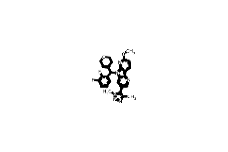 COc1ccc2c3ncc(-c4c(C)nnn4C)cc3n(C(c3cccc(F)c3F)C3CCOCC3)c2n1